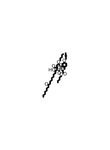 CC#CCOc1ccc(C[C@H](NC(=O)[C@@H](/C=C/CCCCCCC(=O)CCCCCCC)[C@@](O)(CC(=O)OCCCCC)C(=O)O)C(=O)OCCCCC)cc1